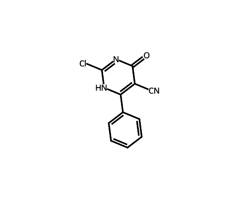 N#Cc1c(-c2ccccc2)[nH]c(Cl)nc1=O